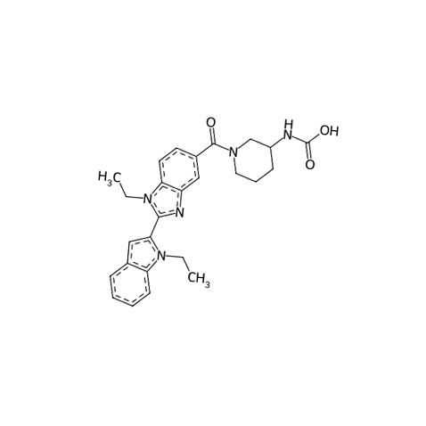 CCn1c(-c2nc3cc(C(=O)N4CCCC(NC(=O)O)C4)ccc3n2CC)cc2ccccc21